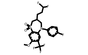 COc1cc2c(cc1C(F)(F)F)N(c1ccc(F)cc1)CC(CCC(F)F)CS2(=O)=O